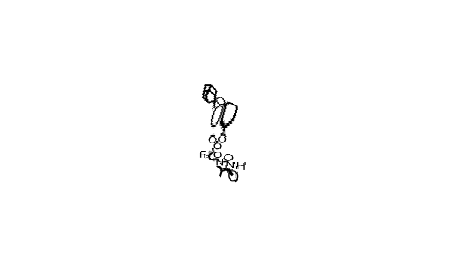 Cc1cn([C@H]2C[C@H](F)[C@@H](COC(=O)OC3CCCC4(C3)OCC3(O4)C4CC5CC(C4)CC3C5)O2)c(=O)[nH]c1=O